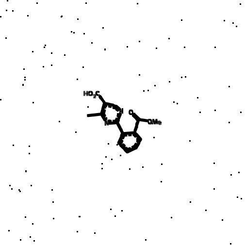 COC(=O)c1ccccc1-c1ncc(C(=O)O)c(C)n1